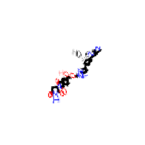 O=C1CCC(N2C(=O)c3ccc(C(O)COCCNc4ccc(-c5ccc(-c6cc7ccncc7n6C(=O)O)cc5)cn4)cc3C2=O)C(=O)N1